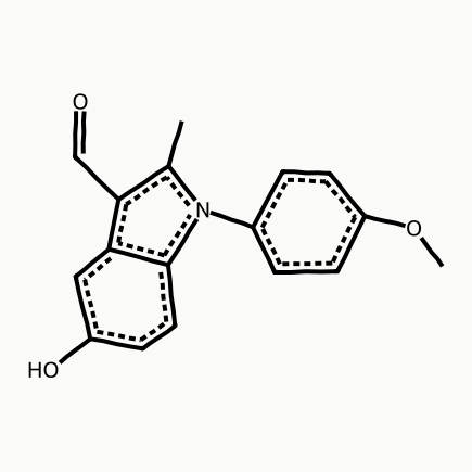 COc1ccc(-n2c(C)c(C=O)c3cc(O)ccc32)cc1